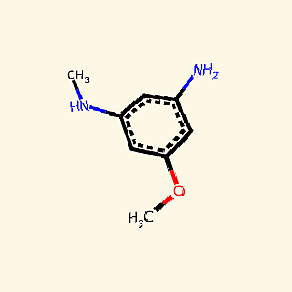 CNc1cc(N)cc(OC)c1